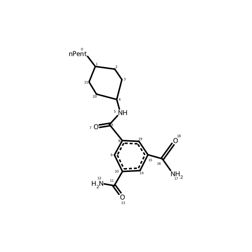 CCCCCC1CCC(NC(=O)c2cc(C(N)=O)cc(C(N)=O)c2)CC1